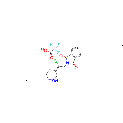 O=C(O)C(F)(F)F.O=C1c2ccccc2C(=O)N1C/C(Cl)=C1/CCCNC1